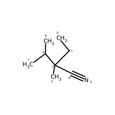 CCC(C)(C#N)C(C)C